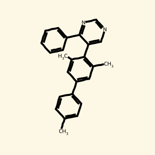 Cc1ccc(-c2cc(C)c(-c3cncnc3-c3ccccc3)c(C)c2)cc1